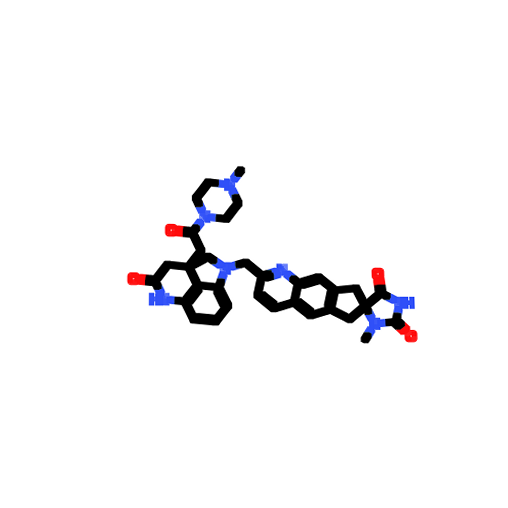 CN1CCN(C(=O)CC23CC(=O)Nc4cccc(c42)N(Cc2ccc4cc5c(cc4n2)CC2(C5)C(=O)NC(=O)N2C)C3)CC1